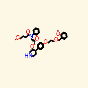 COCCCC(=O)N1C[C@H](CO[C@@H]2CNCCC2c2ccc(OCCCOCc3ccccc3OC)cc2)Oc2ccccc21